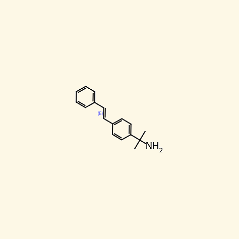 CC(C)(N)c1ccc(/C=C/c2ccccc2)cc1